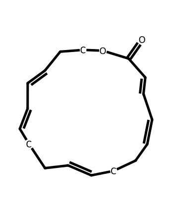 O=C1/C=C/C=C\CC/C=C/CC/C=C/C=C/CCO1